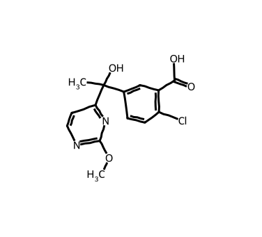 COc1nccc(C(C)(O)c2ccc(Cl)c(C(=O)O)c2)n1